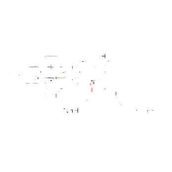 CC1C[C@H]2[C@@H]3CCC4=CC(=O)C=C[C@]4(C)[C@@]3(F)C(O)C[C@]2(C)[C@@]1(O)C(=O)COC(=O)CCS(=O)(=O)O.[NaH]